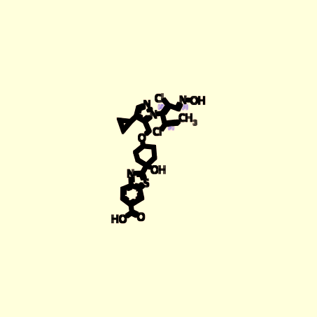 C\C=C(Cl)/C(=C(Cl)\C=N\O)n1ncc(C2CC2)c1COC1CCC(O)(c2nc3ccc(C(=O)O)cc3s2)CC1